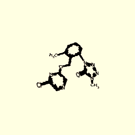 Cc1cccc(-n2nnn(C)c2=O)c1COc1cncc(Cl)n1